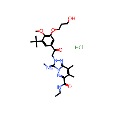 CCNC(=O)c1nn2/c(=N/C)n(CC(=O)c3cc(OCCCO)c(OC)c(C(C)(C)C)c3)nc2c(C)c1C.Cl